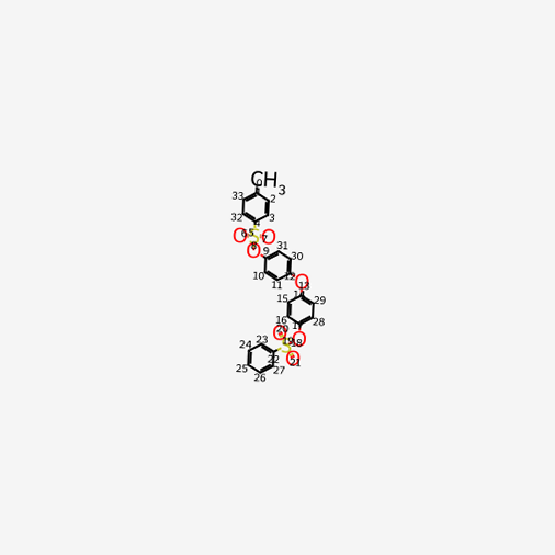 Cc1ccc(S(=O)(=O)Oc2ccc(Oc3ccc(OS(=O)(=O)c4ccccc4)cc3)cc2)cc1